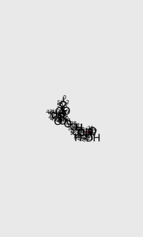 Cc1ccc(S(=O)(=O)OC[C@H](COC2C=C3CC[C@@H]4[C@@H](CC[C@]5(C)C(O)(c6ccoc6)CC[C@@]45O)[C@@]3(C)CC2)OS(=O)(=O)c2ccc(C)cc2)cc1